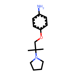 CC(C)(COc1ccc(N)cc1)N1CCCC1